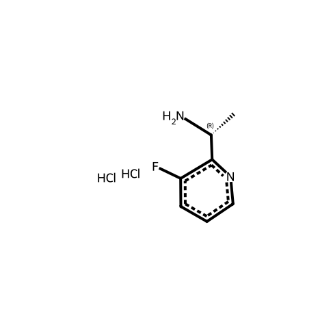 C[C@@H](N)c1ncccc1F.Cl.Cl